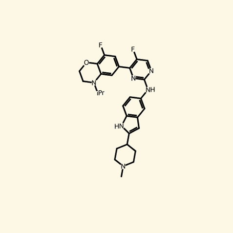 CC(C)N1CCOc2c(F)cc(-c3nc(Nc4ccc5[nH]c(C6CCN(C)CC6)cc5c4)ncc3F)cc21